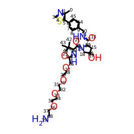 Cc1ncsc1-c1ccc(CNC(=O)[C@@H]2C[C@@H](O)CN2C(=O)[C@@H](NC(=O)COCCOCCOCCOCCN)C(C)(C)C)cc1